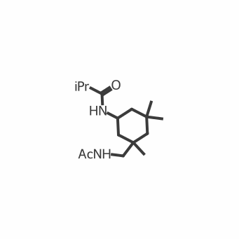 CC(=O)NCC1(C)CC(NC(=O)C(C)C)CC(C)(C)C1